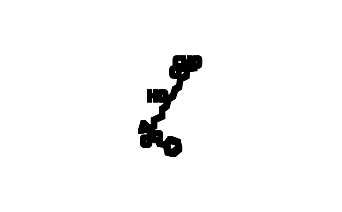 O=CC(=O)C1(CCCCCC(O)CCCCCC2(C(=O)OCc3ccccc3)CC2)CC1